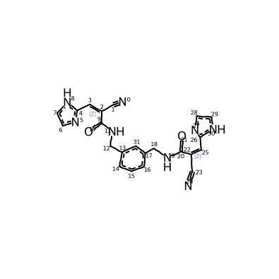 N#C/C(=C/c1ncc[nH]1)C(=O)NCc1cccc(CNC(=O)/C(C#N)=C\c2ncc[nH]2)c1